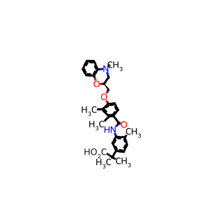 Cc1ccc(C(C)(C)C(=O)O)cc1NC(=O)c1ccc(OC[C@@H]2CN(C)c3ccccc3O2)c(C)c1C